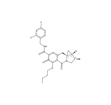 CCCCOc1c2n(cc(C(=O)NCc3ccc(F)cc3F)c1=O)C[C@@]13C[C@@H]1[C@@H](C)CN3C2=O